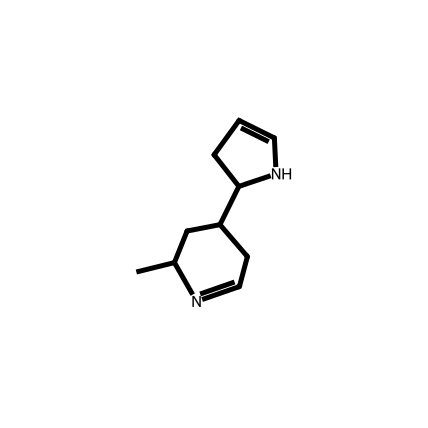 CC1CC(C2CC=CN2)CC=N1